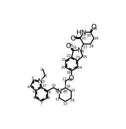 CCn1ccc2cccc(CN3CCCC[C@@H]3COc3ccc4c(c3)CN(C3CCC(=O)NC3=O)C4=O)c21